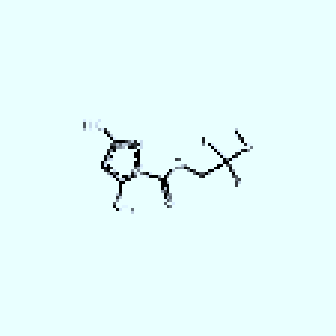 Cc1cc(C)n(C(=O)OCC(F)(F)OF)n1